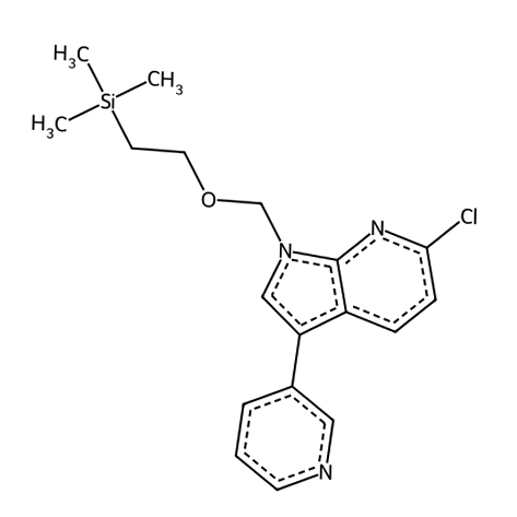 C[Si](C)(C)CCOCn1cc(-c2cccnc2)c2ccc(Cl)nc21